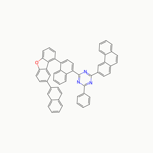 c1ccc(-c2nc(-c3ccc4ccc5ccccc5c4c3)nc(-c3ccc(-c4cccc5oc6ccc(-c7ccc8ccccc8c7)cc6c45)c4ccccc34)n2)cc1